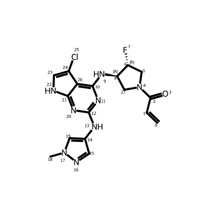 C=CC(=O)N1C[C@@H](F)[C@H](Nc2nc(Nc3cnn(C)c3)nc3[nH]cc(Cl)c23)C1